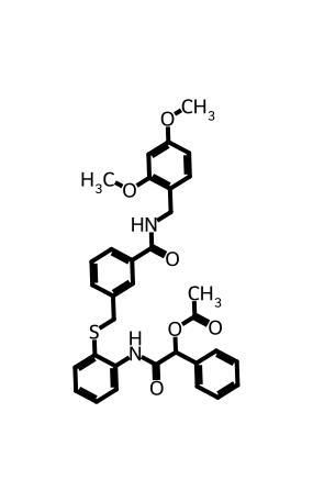 COc1ccc(CNC(=O)c2cccc(CSc3ccccc3NC(=O)C(OC(C)=O)c3ccccc3)c2)c(OC)c1